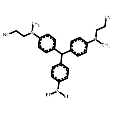 CCN(CC)c1ccc(C(c2ccc(N(C)CCC#N)cc2)c2ccc(N(C)CCC#N)cc2)cc1